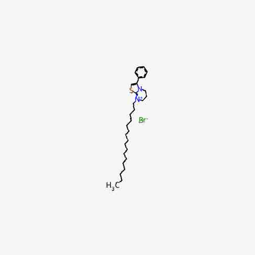 CCCCCCCCCCCCCCCCC[N+]1=C2SC=C(c3ccccc3)N2CCC1.[Br-]